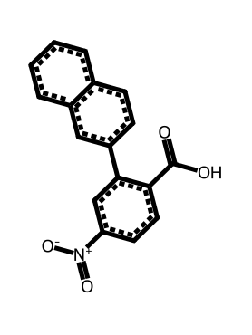 O=C(O)c1ccc([N+](=O)[O-])cc1-c1ccc2ccccc2c1